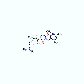 COc1nc(C)cc(C)c1CN1CCc2sc([C@H](C)[C@H]3CC[C@H](N(C)C)CC3)c(C)c2C1=O